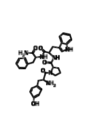 NC(=O)C(Cc1ccccc1)NC(=O)C(Cc1c[nH]c2ccccc12)NC(=O)C1CCCN1C(=O)C(N)Cc1ccc(O)cc1